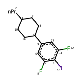 CCCC1CCC(c2cc(F)c(I)c(F)c2)CC1